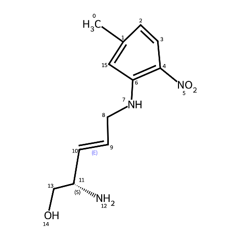 Cc1ccc([N+](=O)[O-])c(NC/C=C/[C@H](N)CO)c1